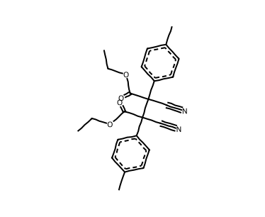 CCOC(=O)C(C#N)(c1ccc(C)cc1)C(C#N)(C(=O)OCC)c1ccc(C)cc1